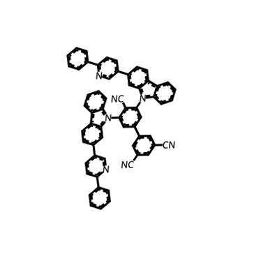 N#Cc1cc(C#N)cc(-c2cc(-n3c4ccccc4c4ccc(-c5ccc(-c6ccccc6)nc5)cc43)c(C#N)c(-n3c4ccccc4c4ccc(-c5ccc(-c6ccccc6)nc5)cc43)c2)c1